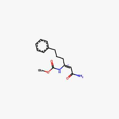 CC(C)(C)OC(=O)N/C(=C\C(N)=O)CCCc1ccccc1